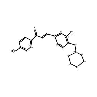 Cc1ccc(C(=O)/C=C/c2ccc(CN3CCOCC3)c(C(F)(F)F)c2)cc1